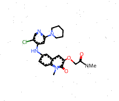 CNC(=O)COc1cc2cc(Nc3cc(N4CCCCC4)ncc3Cl)ccc2n(C)c1=O